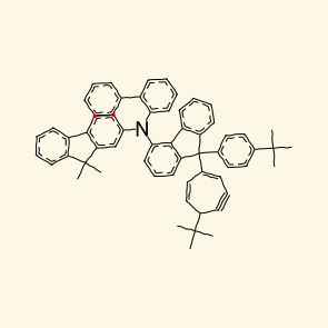 CC(C)(C)c1ccc(C2(C3=CC#CC(C(C)(C)C)C=C3)c3ccccc3-c3c(N(c4ccc5c(c4)C(C)(C)c4ccccc4-5)c4ccccc4-c4ccccc4)cccc32)cc1